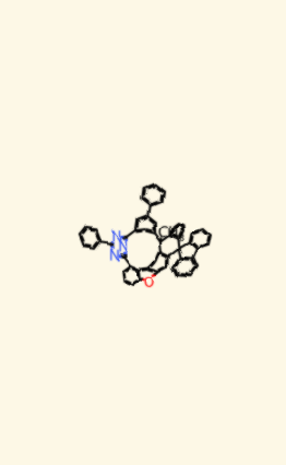 CC12c3cc(-c4ccccc4)cc(c3)-c3nc(-c4ccccc4)nc(n3)-c3cccc4oc5cc(c1cc5c34)C1(c3ccccc3-c3ccccc31)c1ccccc12